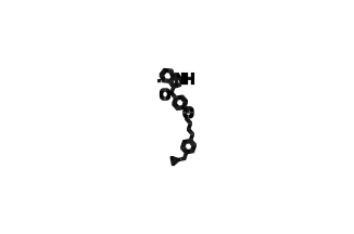 O=C(c1ccc(OCCCCc2ccc(CC3CC3)cc2)cc1)c1c[nH]c2ccc[c]c12